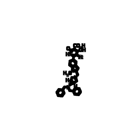 CCc1c(-c2ccc3c(c2)cc(CN2C[C@@H]4[C@H](C2)[C@@H]4N(Cc2ccccc2)Cc2ccccc2)n3C)[nH]c(=O)c(C(=O)O)c1O